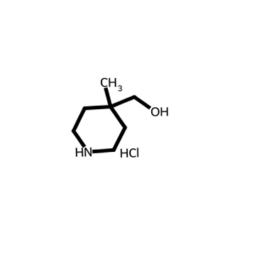 CC1(CO)CCNCC1.Cl